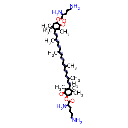 CC1=C(/C=C/C(C)=C/C=C/C(C)=C/C=C/C=C(C)/C=C/C=C(C)/C=C/C2=C(C)C(=O)C(OC(=O)C(N)CCCCN)CC2(C)C)C(C)(C)CC(OC(=O)C(N)CCCN)C1=O